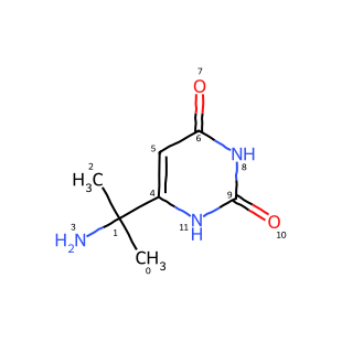 CC(C)(N)c1cc(=O)[nH]c(=O)[nH]1